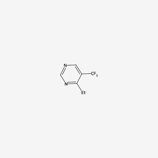 C[CH]c1ncncc1C(F)(F)F